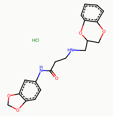 Cl.O=C(CCNCC1COc2ccccc2O1)Nc1ccc2c(c1)OCO2